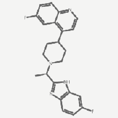 C[C@H](c1nc2ccc(F)cc2[nH]1)N1CCC(c2ccnc3ccc(F)cc23)CC1